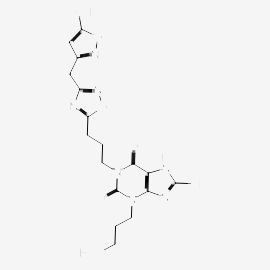 CCCCn1c(=O)n(CCCc2nc(Cc3cc(C)on3)no2)c(=O)c2[nH]c(Cl)nc21